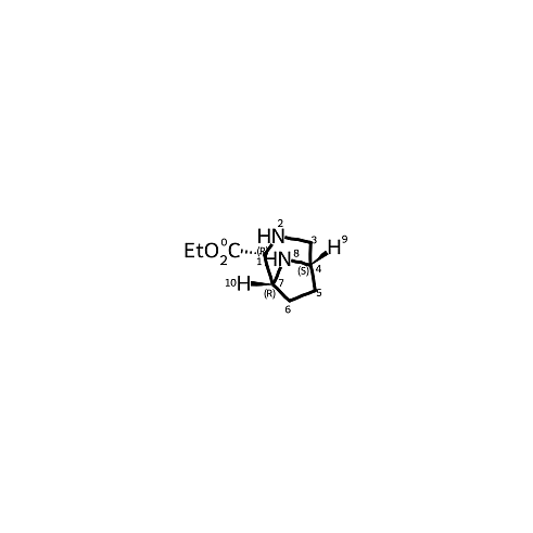 CCOC(=O)[C@@H]1NC[C@@H]2CC[C@H]1N2